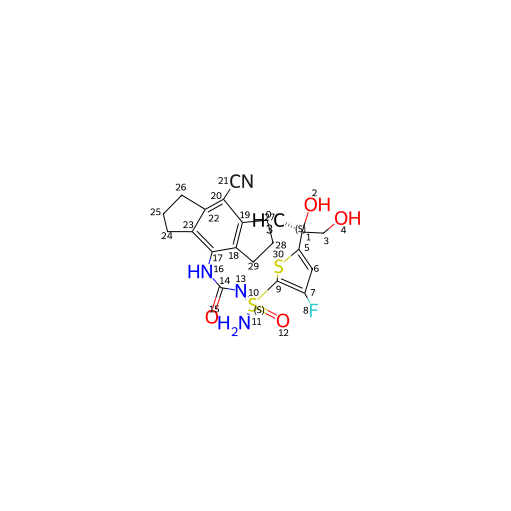 C[C@](O)(CO)c1cc(F)c([S@@](N)(=O)=NC(=O)Nc2c3c(c(C#N)c4c2CCC4)CCC3)s1